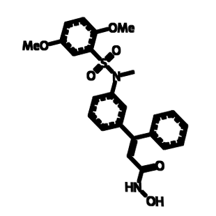 COc1ccc(OC)c(S(=O)(=O)N(C)c2cccc(C(=CC(=O)NO)c3ccccc3)c2)c1